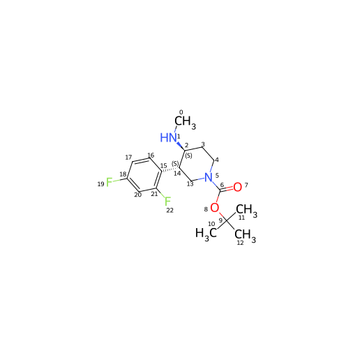 CN[C@H]1CCN(C(=O)OC(C)(C)C)C[C@@H]1c1ccc(F)cc1F